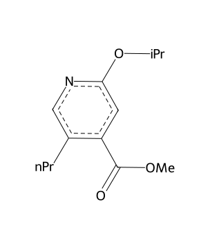 CCCc1cnc(OC(C)C)cc1C(=O)OC